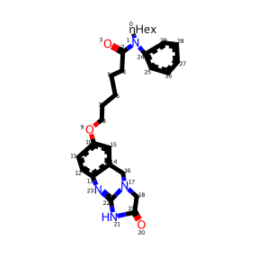 CCCCCCN(C(=O)CCCCCOc1ccc2c(c1)CN1CC(=O)NC1=N2)c1ccccc1